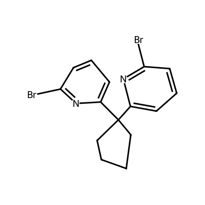 Brc1cccc(C2(c3cccc(Br)n3)CCCC2)n1